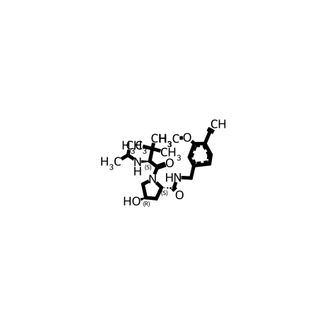 C#Cc1ccc(CNC(=O)[C@@H]2C[C@@H](O)CN2C(=O)[C@@H](NC(C)C)C(C)(C)C)cc1OC